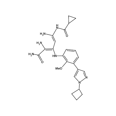 COc1c(NC(/C=C(\N)NC(=O)C2CC2)=C(/N)C(N)=O)cccc1-c1cnn(C2CCC2)c1